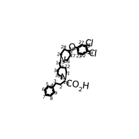 O=C(O)[C@H](CCc1ccccc1)N1CCC(CN2CCC(Oc3ccc(Cl)c(Cl)c3)CC2)CC1